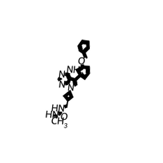 CNC(=O)NC[C@H]1C[C@@H](n2cc(-c3cccc(OCc4ccccc4)c3)c3c(N)ncnc32)C1